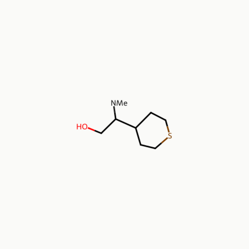 CNC(CO)C1CCSCC1